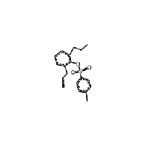 C=CCc1cccc(CCC)c1OS(=O)(=O)c1ccc(C)cc1